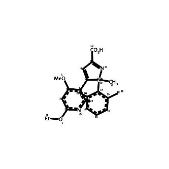 CCOc1cc(OC)c(C2=CC(C(=O)O)=N[N+]2(C)c2c(F)cccc2F)cn1